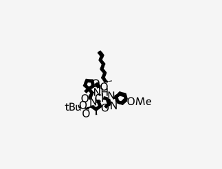 C=CCCCCC[C@H](C)OC(=O)N[C@H](C(=O)N1C[C@H](Oc2nc3cc(OC)ccc3nc2Cl)[C@@H](C)[C@H]1C(=O)OC(C)(C)C)C1(C)CCCC1